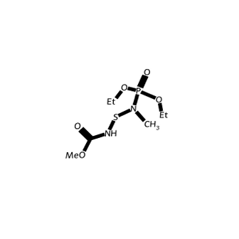 CCOP(=O)(OCC)N(C)SNC(=O)OC